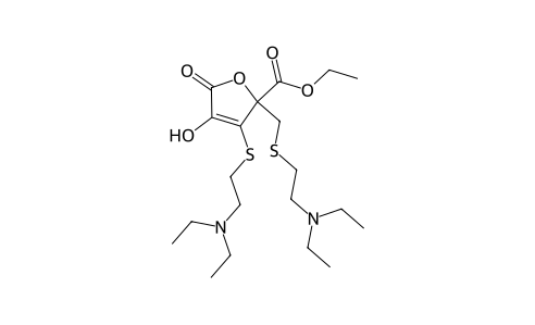 CCOC(=O)C1(CSCCN(CC)CC)OC(=O)C(O)=C1SCCN(CC)CC